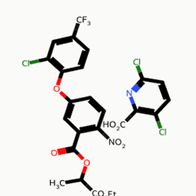 CCOC(=O)C(C)OC(=O)c1cc(Oc2ccc(C(F)(F)F)cc2Cl)ccc1[N+](=O)[O-].O=C(O)c1nc(Cl)ccc1Cl